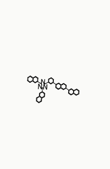 c1cc(-c2ccc3cc(-c4ccc5ccccc5c4)ccc3c2)cc(-c2nc(-c3ccc4ccccc4c3)nc(-c3ccc4ccccc4c3)n2)c1